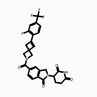 O=C1CCC(N2Cc3cc(C(=O)N4CC5(C=C(c6ccc(C(F)(F)F)cc6F)C5)C4)ccc3C2=O)C(=O)N1